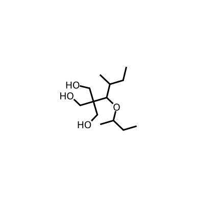 CCC(C)OC(C(C)CC)C(CO)(CO)CO